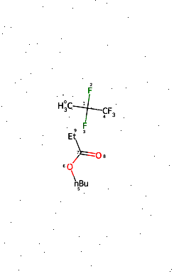 CC(F)(F)C(F)(F)F.CCCCOC(=O)CC